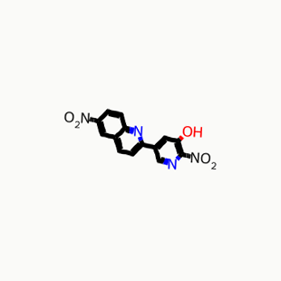 O=[N+]([O-])c1ccc2nc(-c3cnc([N+](=O)[O-])c(O)c3)ccc2c1